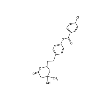 CC1(O)CC(=O)OC(CCc2ccc(OC(=O)c3ccc(Cl)cc3)cc2)C1